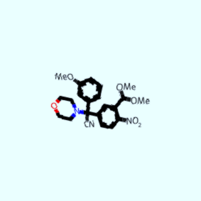 COc1cccc(C(C#N)(c2ccc([N+](=O)[O-])c(C(OC)OC)c2)N2CCOCC2)c1